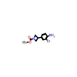 CCc1cc(C2CN(C(=O)OC(C)(C)C)C2)ccc1N